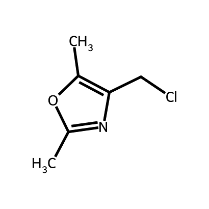 Cc1nc(CCl)c(C)o1